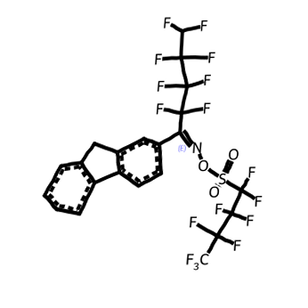 O=S(=O)(O/N=C(\c1ccc2c(c1)Cc1ccccc1-2)C(F)(F)C(F)(F)C(F)(F)C(F)F)C(F)(F)C(F)(F)C(F)(F)C(F)(F)F